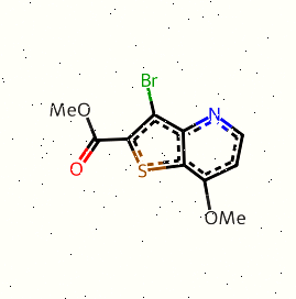 COC(=O)c1sc2c(OC)ccnc2c1Br